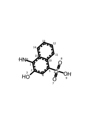 [NH]c1c(O)cc(S(=O)(=O)O)c2ccccc12